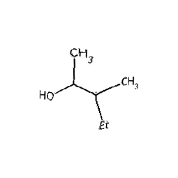 CC[C](C)C(C)O